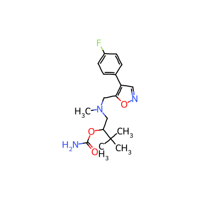 CN(Cc1oncc1-c1ccc(F)cc1)CC(OC(N)=O)C(C)(C)C